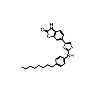 CCCCCCCCc1ccc(Nc2nc(-c3ccc4[nH]c(=O)oc4c3)cs2)cc1